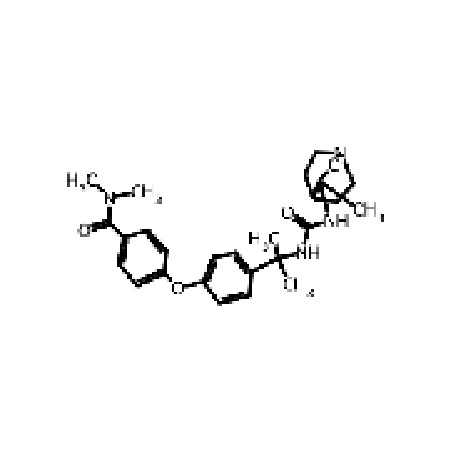 CN(C)C(=O)c1ccc(Oc2ccc(C(C)(C)NC(=O)NC3(C)CN4CCC3CC4)cc2)cc1